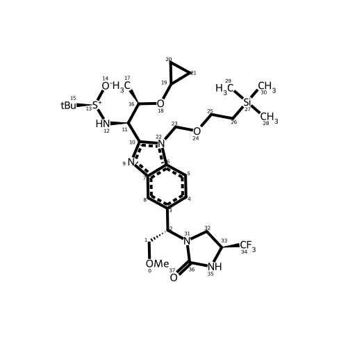 COC[C@H](c1ccc2c(c1)nc([C@@H](N[S@+]([O-])C(C)(C)C)[C@@H](C)OC1CC1)n2COCC[Si](C)(C)C)N1C[C@@H](C(F)(F)F)NC1=O